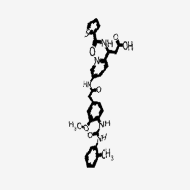 COc1cc(CC(=O)Nc2ccc(C(CC(=O)O)NC(=O)c3cccs3)nc2)ccc1NC(=O)Nc1ccccc1C